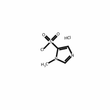 Cl.Cn1cncc1S(=O)(=O)Cl